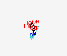 CC(c1ccc(-c2cnc(C(F)(F)F)cn2)cc1C(F)(F)F)[C@H]1O[C@H](CO)[C@@H](O)[C@H](O)[C@@H]1O